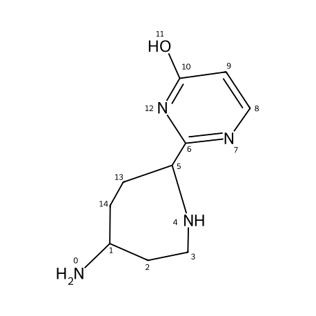 NC1CCNC(c2nccc(O)n2)CC1